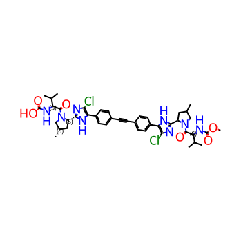 COC(=O)N[C@H](C(=O)N1CC(C)CC1c1nc(Cl)c(-c2ccc(C#Cc3ccc(-c4[nH]c([C@@H]5C[C@H](C)CN5C(=O)[C@@H](NC(=O)O)C(C)C)nc4Cl)cc3)cc2)[nH]1)C(C)C